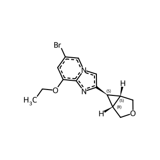 CCOc1cc(Br)cn2cc([C@H]3[C@@H]4COC[C@@H]43)nc12